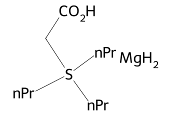 CCCS(CCC)(CCC)CC(=O)O.[MgH2]